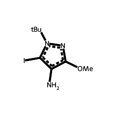 COc1nn(C(C)(C)C)c(I)c1N